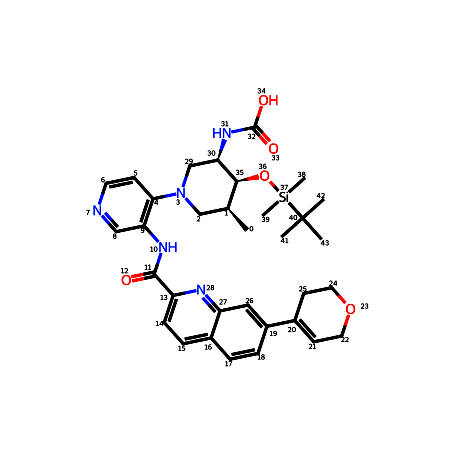 C[C@H]1CN(c2ccncc2NC(=O)c2ccc3ccc(C4=CCOCC4)cc3n2)C[C@@H](NC(=O)O)[C@H]1O[Si](C)(C)C(C)(C)C